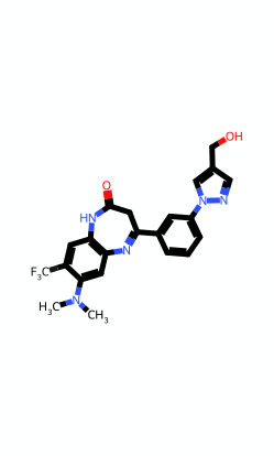 CN(C)c1cc2c(cc1C(F)(F)F)NC(=O)CC(c1cccc(-n3cc(CO)cn3)c1)=N2